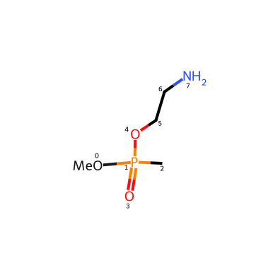 COP(C)(=O)OCCN